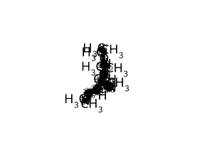 Cc1nn(COCC[Si](C)(C)C)c(C)c1-c1ccc(NC(=O)[C@H](Cc2cc(-c3cccc(CN(C)C)c3)ccc2Cl)NC(=O)c2ccnn2C)cc1